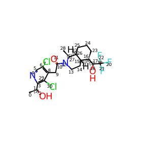 C[C@H](O)c1ncc(Cl)c(CC(=O)N2CC[C@H]3[C@H]([C@H](O)C(F)(F)F)CCC[C@@H]3[C@@H]2C)c1Cl